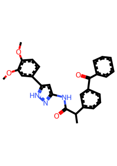 COc1ccc(-c2cc(NC(=O)C(C)c3cccc(C(=O)c4ccccc4)c3)n[nH]2)cc1OC